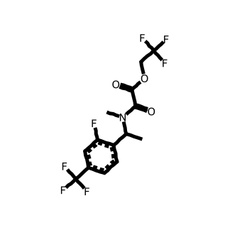 CC(c1ccc(C(F)(F)F)cc1F)N(C)C(=O)C(=O)OCC(F)(F)F